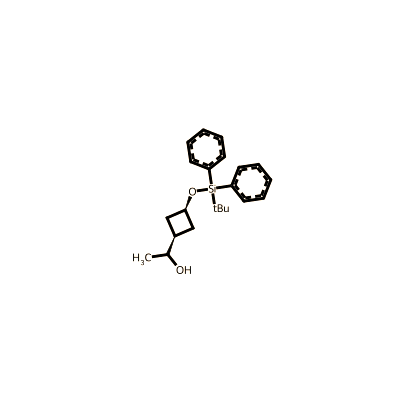 CC(O)[C@H]1C[C@@H](O[Si](c2ccccc2)(c2ccccc2)C(C)(C)C)C1